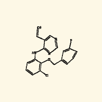 [CH]=Cc1cncnc1Nc1cccc(Cl)c1OCc1cccc(F)c1